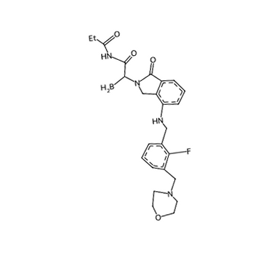 BC(C(=O)NC(=O)CC)N1Cc2c(NCc3cccc(CN4CCOCC4)c3F)cccc2C1=O